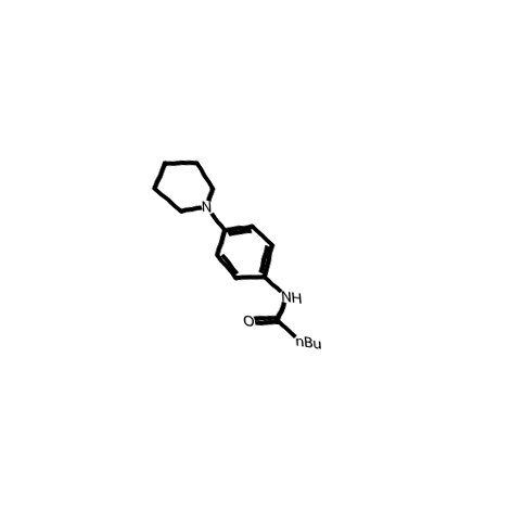 CCCCC(=O)Nc1ccc(N2CCCCC2)cc1